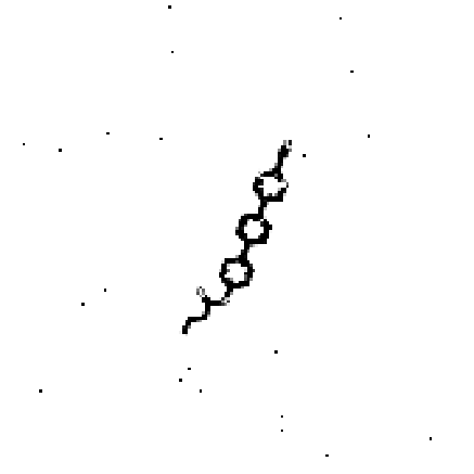 CCCC(=O)Oc1ccc(-c2ccc(-c3cnc(C#N)nc3)cc2)cc1